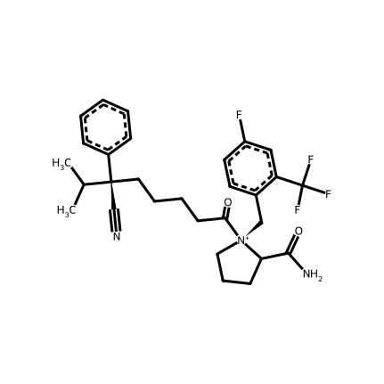 CC(C)[C@@](C#N)(CCCCC(=O)[N@@+]1(Cc2ccc(F)cc2C(F)(F)F)CCCC1C(N)=O)c1ccccc1